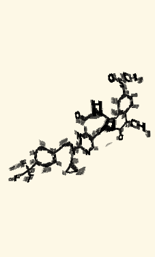 CC(C(=O)Nc1cnc(N(Cc2ccc(C(F)(F)F)cc2)C2CC2)nc1)c1ccc([S+](C)[O-])cc1CNC=O